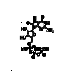 Nc1nc2c([nH]c(=O)n2C2OC(COP(=O)(O)OP(=O)(O)OP(=O)(O)O)C(O)C2O)c(=O)[nH]1